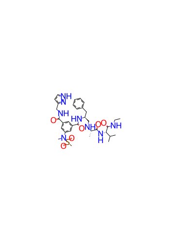 CCNC(=O)[C@@H](NC(=O)[C@H](C)NC[C@H](Cc1ccccc1)NC(=O)c1cc(C(=O)NCc2cc[nH]n2)cc(N(C)S(C)(=O)=O)c1)C(C)C